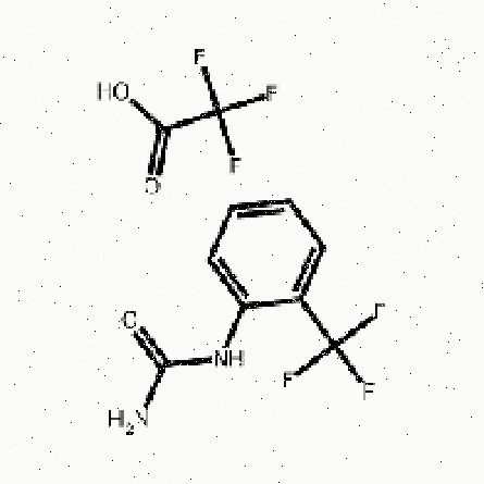 NC(=O)Nc1ccccc1C(F)(F)F.O=C(O)C(F)(F)F